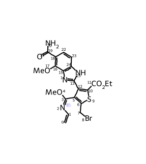 C=C/N=C(/OC)c1c(CBr)sc(C(=O)OCC)c1-c1nc2c(OC)c(C(N)=O)ccc2[nH]1